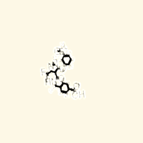 C[C@H](NC(=O)c1c(C(F)F)nn(C)c1Oc1cccc([S+](C)[O-])c1)c1ccc(C(=O)O)cc1